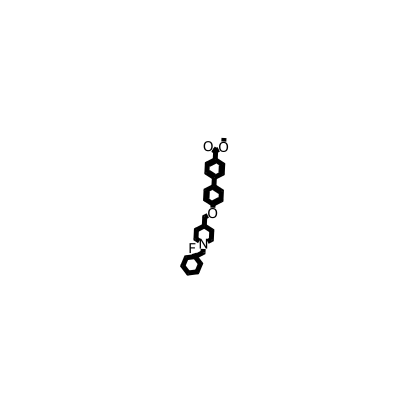 COC(=O)c1ccc(-c2ccc(OCC3CCN(CC4(F)CCCCC4)CC3)cc2)cc1